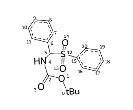 CC(C)(C)OC(=O)NC(c1ccccc1)S(=O)(=O)c1ccccc1